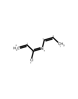 C=C/C(Cl)=N\C=C/C